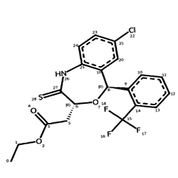 CCOC(=O)C[C@H]1O[C@H](c2ccccc2C(F)(F)F)c2cc(Cl)ccc2NC1=S